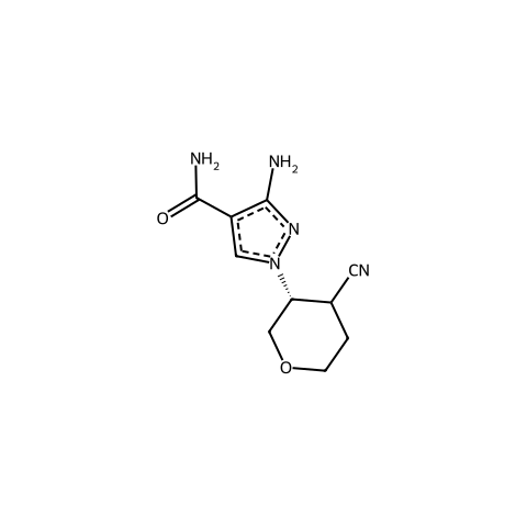 N#CC1CCOC[C@@H]1n1cc(C(N)=O)c(N)n1